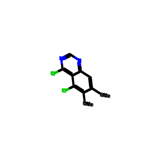 COc1cc2ncnc(Cl)c2c(Cl)c1OC